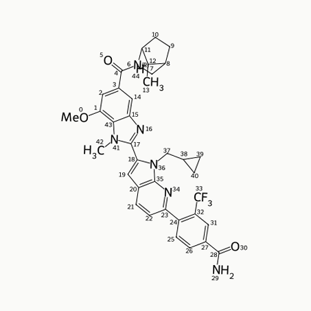 COc1cc(C(=O)N2CC3CCC2[C@@H]3C)cc2nc(-c3cc4ccc(-c5ccc(C(N)=O)cc5C(F)(F)F)nc4n3CC3CC3)n(C)c12